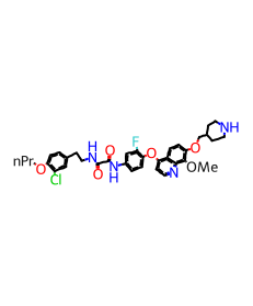 CCCOc1ccc(CCNC(=O)C(=O)Nc2ccc(Oc3ccnc4c(OC)c(OCC5CCNCC5)ccc34)c(F)c2)cc1Cl